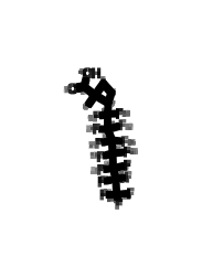 CC1(C(=O)O)CCC1C(F)(F)C(F)(F)C(F)(F)C(F)(F)C(F)(F)C(F)(F)C(F)(F)F